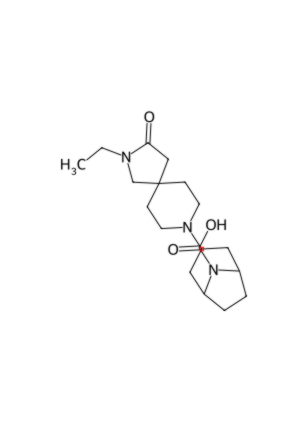 CCN1CC2(CCN(C3CC4CCC(C3)N4C(=O)O)CC2)CC1=O